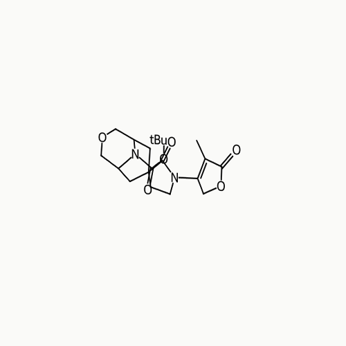 CC1=C(N2CCC3(CC4COCC(C3)N4C(=O)OC(C)(C)C)C2=O)COC1=O